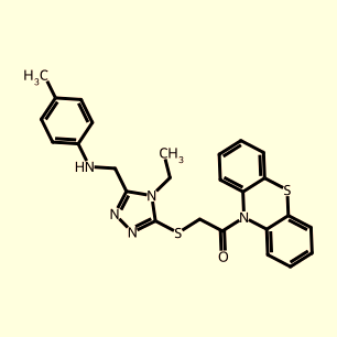 CCn1c(CNc2ccc(C)cc2)nnc1SCC(=O)N1c2ccccc2Sc2ccccc21